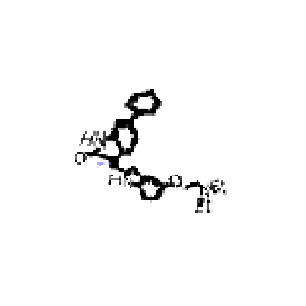 CCN(CC)CCOc1ccc2[nH]c(/C=C3/C(=O)Nc4cc(-c5ccccc5)ccc43)cc2c1